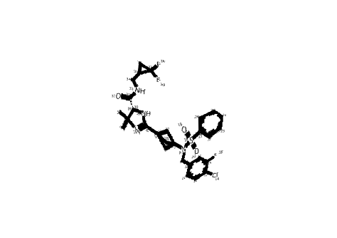 CC1(C)N=C(C23CC(N(Cc4ccc(Cl)c(F)c4)S(=O)(=O)c4ccccc4)(C2)C3)N[C@H]1C(=O)NCC1CC1(F)F